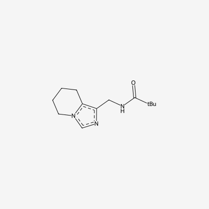 CC(C)(C)C(=O)NCc1ncn2c1CCCC2